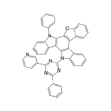 c1ccc(-c2nc(-c3cccnc3)nc(-n3c4ccccc4c4c5c6ccccc6oc5c5c(c6ccccc6n5-c5ccccc5)c43)n2)cc1